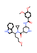 COCCCC(c1c[nH]c2ccccc12)N(C(=O)[C@@H]1CNC[C@H](NC(=O)c2ccc(OC)c(OC)c2)C1)C1CC1